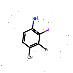 CCc1c(C#N)ccc(N)c1I